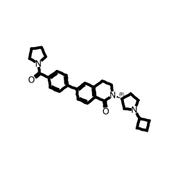 O=C(c1ccc(-c2ccc3c(c2)CCN([C@@H]2CCN(C4CCC4)C2)C3=O)cc1)N1CCCC1